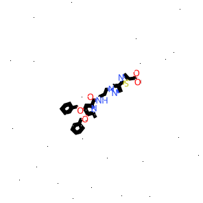 COC(=O)c1cnc(-c2cnn(CCCNC(=O)c3cc(OCc4ccccc4)c(OCc4ccccc4)c(C)n3)c2)s1